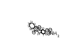 NS(=O)(=O)Oc1ccc2c(c1)S(=O)(=O)C(C(=O)C1CCCCCC1)C2